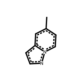 Cc1ccn2nccc2c1